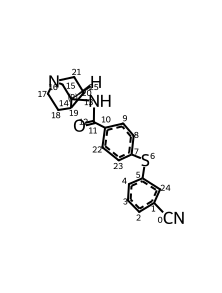 N#Cc1cccc(Sc2ccc(C(=O)N[C@H]3CN4CCC3CC4)cc2)c1